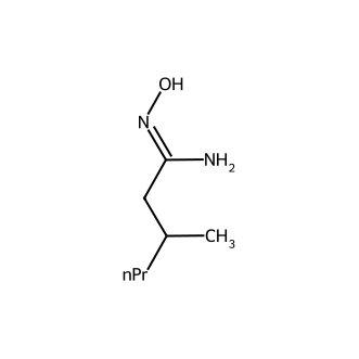 CCCC(C)C/C(N)=N/O